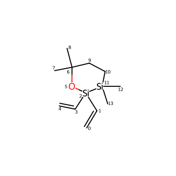 C=C[Si]1(C=C)OC(C)(C)CC[Si]1(C)C